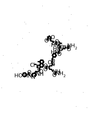 Cc1cccc2c(OC(=O)N(CCCNC(N)=O)CCN(C)C(=O)OCc3ccc(NC(=O)[C@H](CCCNC(N)=O)NC(=O)[C@@H](NC(=O)OCCN4C(=O)C=CC4=O)C(C)C)cc3)cc3c(c12)[C@H](CCl)CN3C(=O)c1cc2cc(NC(=O)C3=CC=C(O)CC3)ncc2[nH]1